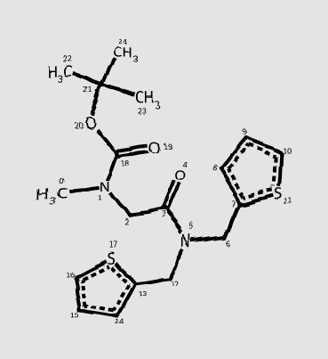 CN(CC(=O)N(Cc1cccs1)Cc1cccs1)C(=O)OC(C)(C)C